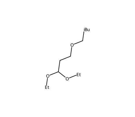 CCOC(CCOCC(C)CC)OCC